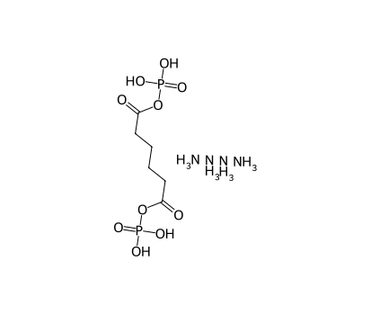 N.N.N.N.O=C(CCCCC(=O)OP(=O)(O)O)OP(=O)(O)O